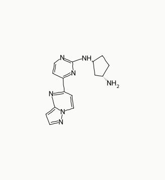 N[C@H]1CC[C@@H](Nc2nccc(-c3ccn4nccc4n3)n2)C1